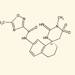 Cc1nc(C(=O)Nc2ccc3c(c2)[C@]2(CCC3)CS(=O)(=O)N(C)C(=N)N2)no1